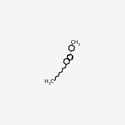 CCCCCCCCC1CCc2cc([C@H]3CC[C@H](C)CC3)ccc2C1